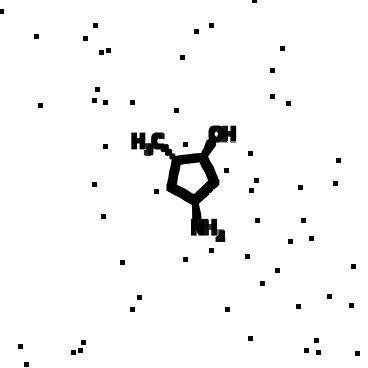 C[C@H]1C[C@H](N)C[C@@H]1O